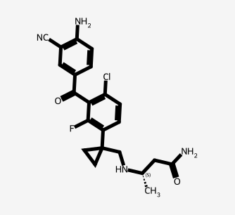 C[C@@H](CC(N)=O)NCC1(c2ccc(Cl)c(C(=O)c3ccc(N)c(C#N)c3)c2F)CC1